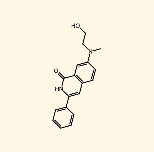 CN(CCO)c1ccc2cc(-c3ccccc3)[nH]c(=O)c2c1